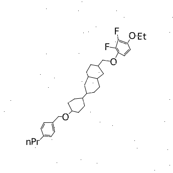 CCCc1ccc(COC2CCC(C3CCC4CC(COc5ccc(OCC)c(F)c5F)CCC4C3)CC2)cc1